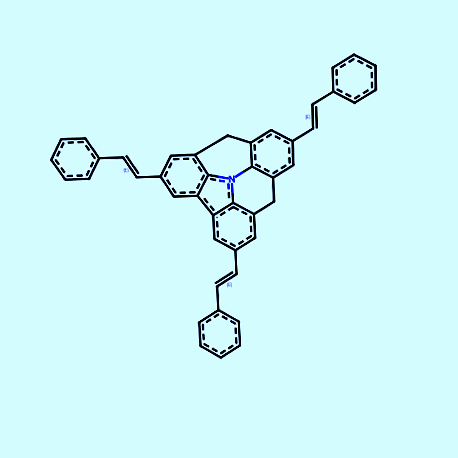 C(=C\c1cc2c3c(c1)Cc1cc(/C=C/c4ccccc4)cc4c5cc(/C=C/c6ccccc6)cc(c5n-3c14)C2)/c1ccccc1